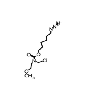 COCCN(CCl)C(=O)OCCCCCCN=[N+]=[N-]